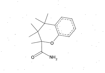 CC1(C(N)=O)Oc2ccccc2C(C)(C)C1(C)C